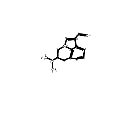 CN(C)C1Cc2cccc3c(C=O)cn(c23)C1